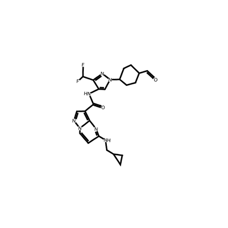 O=CC1CCC(n2cc(NC(=O)c3cnn4ccc(NCC5CC5)nc34)c(C(F)F)n2)CC1